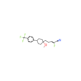 COC1(CCC=C(F)C#N)CCC(c2ccc(C(F)(F)F)cc2)CC1